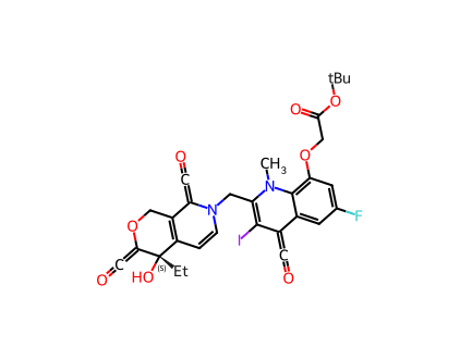 CC[C@@]1(O)C(=C=O)OCC2=C1C=CN(CC1=C(I)C(=C=O)c3cc(F)cc(OCC(=O)OC(C)(C)C)c3N1C)C2=C=O